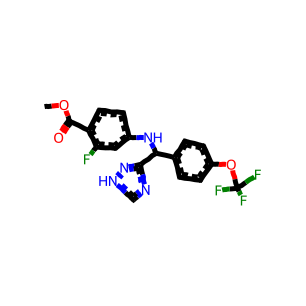 COC(=O)c1ccc(NC(c2ccc(OC(F)(F)F)cc2)c2nc[nH]n2)cc1F